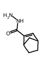 NNC(=O)C1=CC2CCC1C2